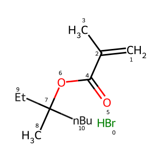 Br.C=C(C)C(=O)OC(C)(CC)CCCC